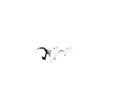 C[C@H]1CN(c2ccncc2[N+](=O)[O-])[C@@H](C)CN1C(=O)OC(C)(C)C